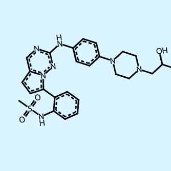 CC(O)CN1CCN(c2ccc(Nc3ncc4ccc(-c5ccccc5NS(C)(=O)=O)n4n3)cc2)CC1